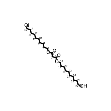 O=C(CC(=O)OCCCCCCCCCCO)OCCCCCCCCCCO